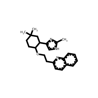 Cc1nc(C2CC(C)(C)CCC2OCCc2ccc3ccccc3n2)c[nH]1